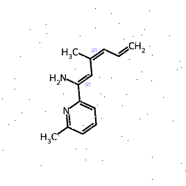 C=C/C=C(C)\C=C(/N)c1cccc(C)n1